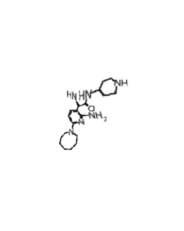 N=C(C(=O)NC1CCNCC1)c1ccc(N2CCCCCCC2)nc1N